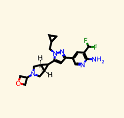 Nc1ncc(-c2cc(C3[C@H]4CN(C5COC5)C[C@@H]34)n(CC3CC3)n2)cc1C(F)F